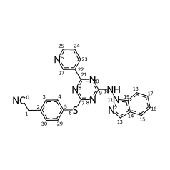 N#CCc1ccc(Sc2nc(Nn3ncc4ccccc43)nc(-c3cccnc3)n2)cc1